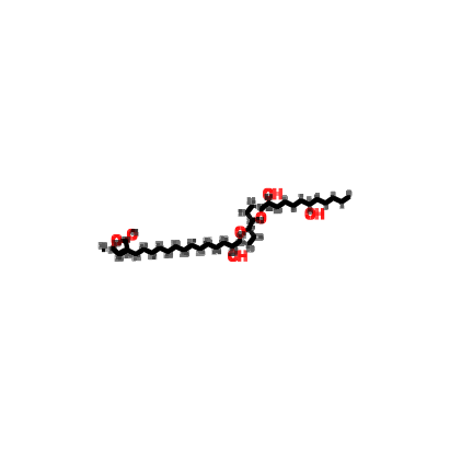 CCCCC[C@H](O)CCCC[C@H](O)[C@H]1CC[C@H]([C@H]2CC[C@H]([C@H](O)CCCCCCCCCCCCC3=C[C@H](C)OC3=O)O2)O1